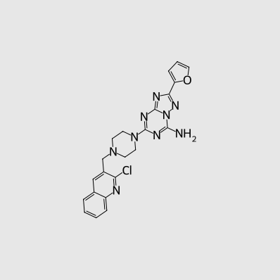 Nc1nc(N2CCN(Cc3cc4ccccc4nc3Cl)CC2)nc2nc(-c3ccco3)nn12